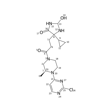 C[C@H]1CN(C(=O)CCC2(C3CC3)NC(O)NC2=O)CCN1c1ccnc(Cl)n1